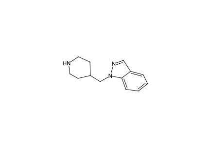 c1ccc2c(c1)cnn2CC1CCNCC1